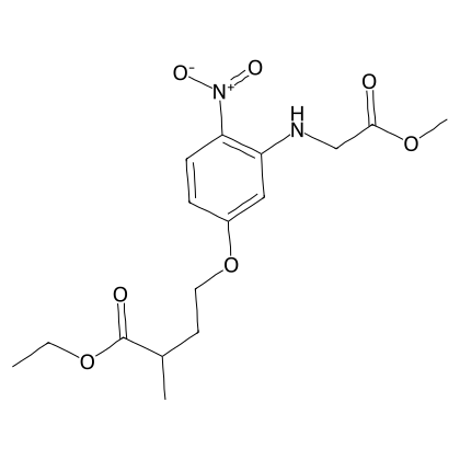 CCOC(=O)C(C)CCOc1ccc([N+](=O)[O-])c(NCC(=O)OC)c1